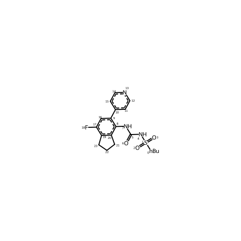 CCCCS(=O)(=O)NC(=O)Nc1c(-c2ccncc2)cc(F)c2c1CCC2